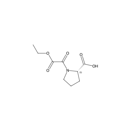 CCOC(=O)C(=O)N1CCC[C@H]1C(=O)O